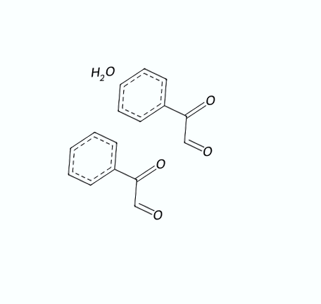 O.O=CC(=O)c1ccccc1.O=CC(=O)c1ccccc1